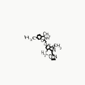 Cc1ccc(C(C)NC(=O)COc2cc(C)c3c(-c4ncco4)nn(C)c3n2)cc1